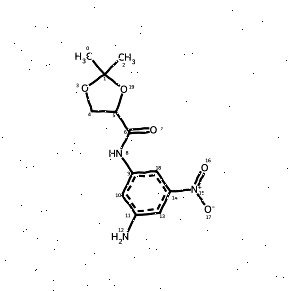 CC1(C)OCC(C(=O)Nc2cc(N)cc([N+](=O)[O-])c2)O1